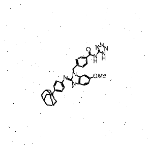 COc1ccc2c(c1)n(Cc1ccc(C(=O)Nc3nnn[nH]3)cc1)c(=Nc1ccc(C34CC5CC(CC(C5)C3)C4)cc1)n2C